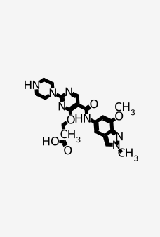 CCOc1nc(N2CCNCC2)ncc1C(=O)Nc1cc(OC)c2nn(C)cc2c1.O=CO